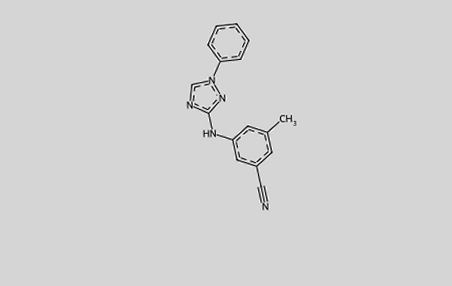 Cc1cc(C#N)cc(Nc2ncn(-c3ccccc3)n2)c1